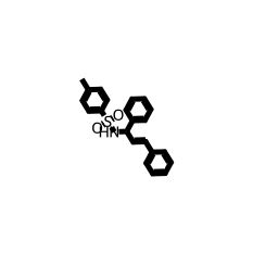 Cc1ccc(S(=O)(=O)NC(/C=C/c2ccccc2)c2ccccc2)cc1